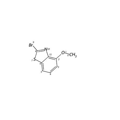 COc1cccc2sc(Br)nc12